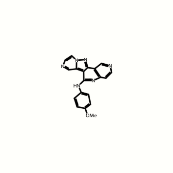 COc1ccc(Nc2nc3ccncc3c3nn4ccncc4c23)cc1